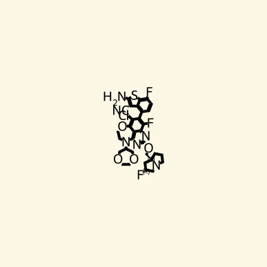 N#Cc1c(N)sc2c(F)ccc(-c3c(Cl)c4c5c(nc(OC[C@@]67CCCN6C[C@H](F)C7)nc5c3F)N(C3COCCOC3)CCO4)c12